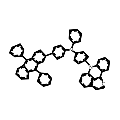 c1ccc(-c2ccccc2N(c2ccccc2)c2ccc(N(c3ccccc3)c3ccc(-c4ccc5c(-c6ccccc6)c6ccccc6c(-c6ccccc6)c5c4)cc3)cc2)cc1